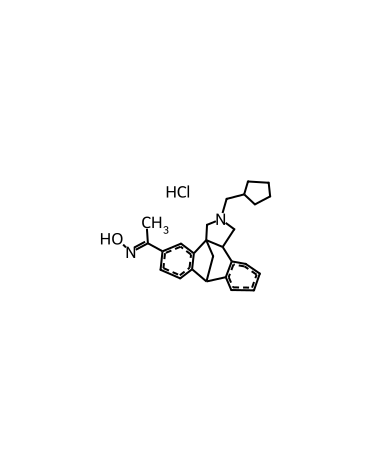 CC(=NO)c1ccc2c(c1)C13CC2c2ccccc2C1CN(CC1CCCC1)C3.Cl